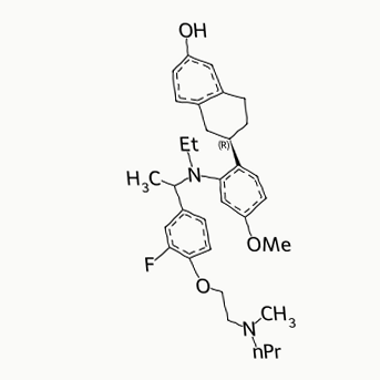 CCCN(C)CCOc1ccc(C(C)N(CC)c2cc(OC)ccc2[C@@H]2CCc3cc(O)ccc3C2)cc1F